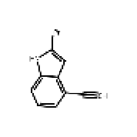 C#Cc1cccc2[nH]c(C(C)C)cc12